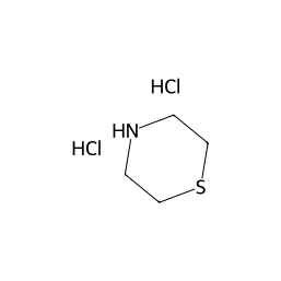 C1CSCCN1.Cl.Cl